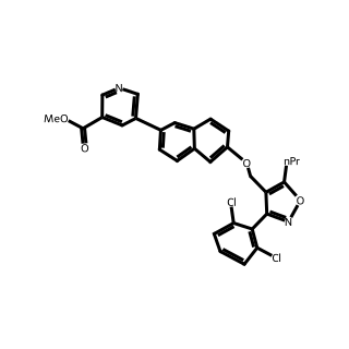 CCCc1onc(-c2c(Cl)cccc2Cl)c1COc1ccc2cc(-c3cncc(C(=O)OC)c3)ccc2c1